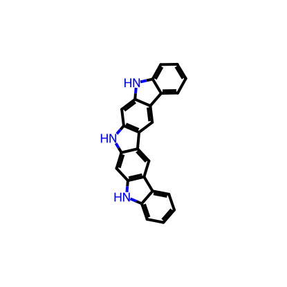 c1ccc2c(c1)[nH]c1cc3[nH]c4cc5[nH]c6ccccc6c5cc4c3cc12